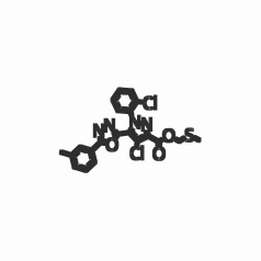 CSCOC(=O)c1nn(-c2ccccc2Cl)c(-c2nnc(-c3cccc(C)c3)o2)c1Cl